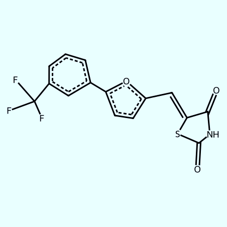 O=C1NC(=O)C(=Cc2ccc(-c3cccc(C(F)(F)F)c3)o2)S1